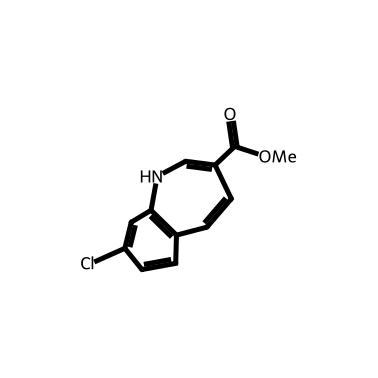 COC(=O)C1=CNc2cc(Cl)ccc2C=C1